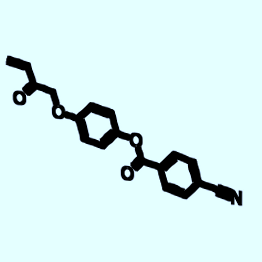 C=CC(=O)COc1ccc(OC(=O)c2ccc(C#N)cc2)cc1